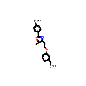 COc1ccc(-c2nc(CCOc3cccc(CC(=O)O)c3)c(C)o2)cc1